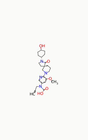 C#CCN(C(=O)O)c1cnc(N2CCC[C@]3(CCN([C@H]4CC[C@H](O)CC4)C3=O)C2)c(OC)c1